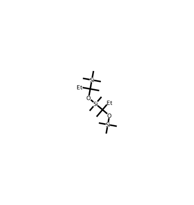 CCC(C)(O[Si](C)(C)C(C)(CC)O[Si](C)(C)C)[Si](C)(C)C